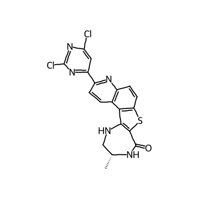 C[C@@H]1CNc2c(sc3ccc4nc(-c5cc(Cl)nc(Cl)n5)ccc4c23)C(=O)N1